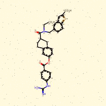 N=C(N)Nc1ccc(C(=O)Oc2ccc3c(c2)CCC(C(=O)N(CC(=O)O)Cc2ccc4sc(C(=O)O)cc4c2)C3)cc1